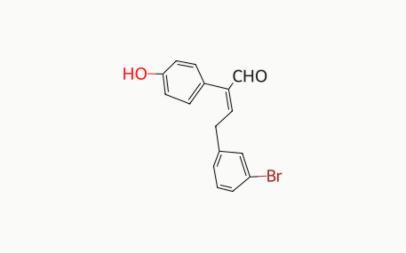 O=CC(=CCc1cccc(Br)c1)c1ccc(O)cc1